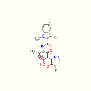 CC(C)[C@H](NC(=O)c1c(Cl)c2cc(F)ccc2n1C)C(=O)C(C(=O)O)C(N)C(=O)CF